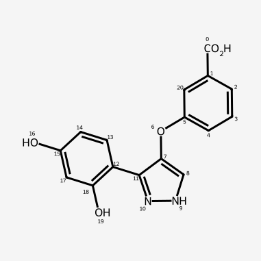 O=C(O)c1cccc(Oc2c[nH]nc2-c2ccc(O)cc2O)c1